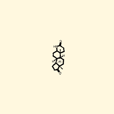 C[C@]12CCC(=O)NC1CC[C@@H]1[C@H]2CC[C@]2(C)C(=O)CC[C@@H]12